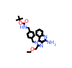 CCOCc1nc2c(N)nc3ccccc3c2n1Cc1ccc(CNC(=O)OC(C)(C)C)cc1